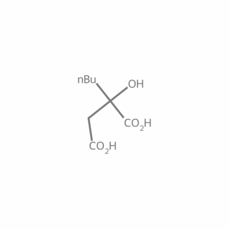 CCCCC(O)(CC(=O)O)C(=O)O